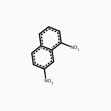 O=[N+]([O-])c1ccc2cccc([N+](=O)[O-])c2c1